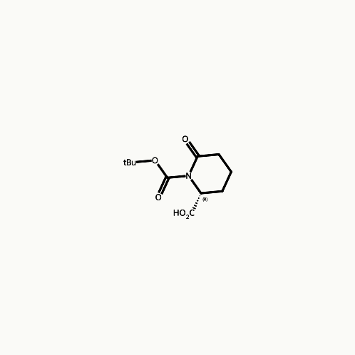 CC(C)(C)OC(=O)N1C(=O)CCC[C@@H]1C(=O)O